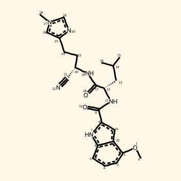 COc1cccc2[nH]c(C(=O)N[C@@H](CC(C)C)C(=O)N[C@H](C#N)CCc3cn(C)cn3)cc12